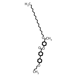 CCCCCCCCCCCCCCCCCCOC(C)c1ccc(OC(=O)c2ccc(-c3ccc(OCCCC)cc3)cc2)cc1